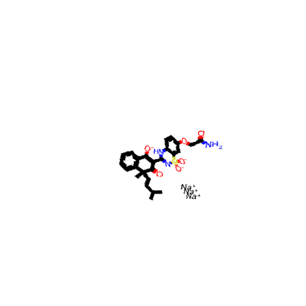 CC(C)CCC1(C)C(=O)C(C2=NS([O-])([O-])c3cc(OCC(N)=O)ccc3N2)=C([O-])c2ccccc21.[Na+].[Na+].[Na+]